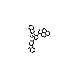 c1ccc2cc3c(cc2c1)oc1c(-c2ccc4sc5ccccc5c4c2)ccc(-c2ccc4ccc5cccc6ccc2c4c56)c13